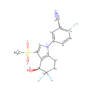 CS(=O)(=O)c1cn(-c2ccc(F)c(C#N)c2)c2c1[C@H](O)C(F)(F)CC2